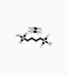 C=C.C=C.O=S(=O)(O)CCCCS(=O)(=O)O